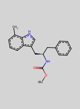 Cc1cccc2c(C[C@@H](Cc3ccccc3)NC(=O)OC(C)(C)C)c[nH]c12